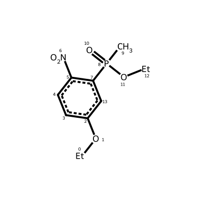 CCOc1ccc([N+](=O)[O-])c(P(C)(=O)OCC)c1